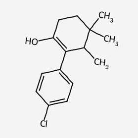 CC1C(c2ccc(Cl)cc2)=C(O)CCC1(C)C